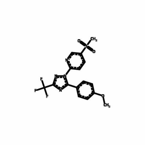 COc1ccc(-c2nc(C(F)(F)F)nn2-c2ccc(S(C)(=O)=O)cn2)cc1